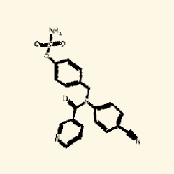 N#Cc1ccc(N(Cc2ccc(OS(N)(=O)=O)cc2)C(=O)c2cccnc2)cc1